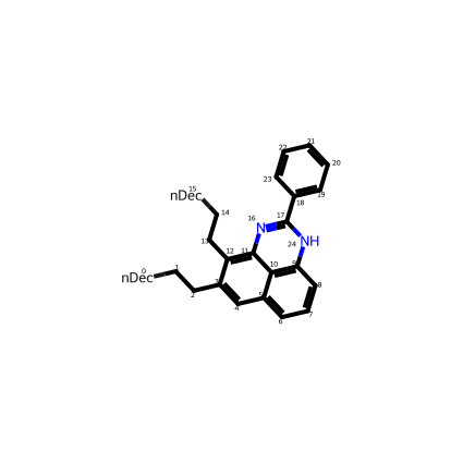 CCCCCCCCCCCCc1cc2cccc3c2c(c1CCCCCCCCCCCC)N=C(c1ccccc1)N3